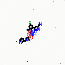 CC(C)c1cc(F)cc(-c2ccnc(C#N)c2)c1NC(=O)NS(=O)(=O)C1CN(Cc2cccnc2)C1I